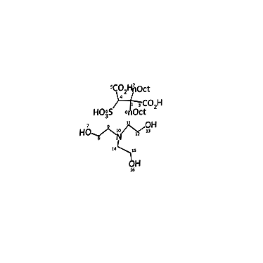 CCCCCCCCC(CCCCCCCC)(C(=O)O)C(C(=O)O)S(=O)(=O)O.OCCN(CCO)CCO